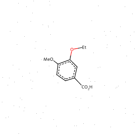 CCOc1cc(C(=O)O)ccc1OC